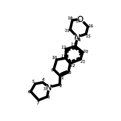 C1=C(CN2CCCCC2)CCc2cc(N3CCOCC3)ccc21